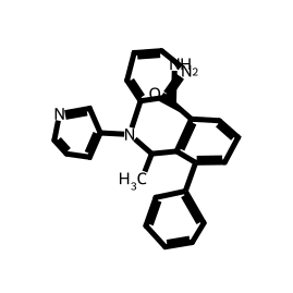 CC(c1c(C(N)=O)cccc1-c1ccccc1)N(c1cccnc1)c1cccnc1